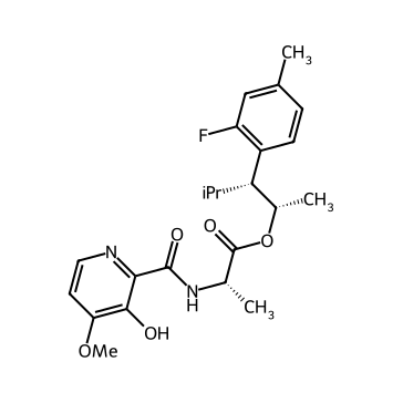 COc1ccnc(C(=O)N[C@@H](C)C(=O)O[C@@H](C)[C@@H](c2ccc(C)cc2F)C(C)C)c1O